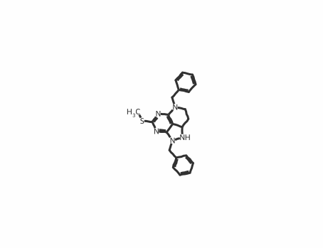 CSc1nc2c3c(n1)N(Cc1ccccc1)NC3CCN2Cc1ccccc1